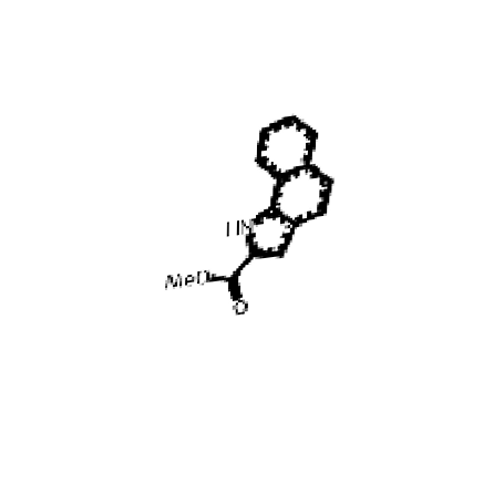 COC(=O)c1cc2ccc3ccccc3c2[nH]1